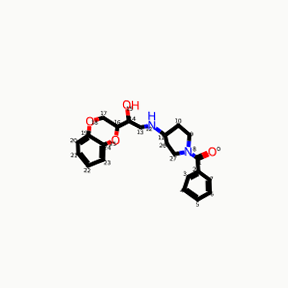 O=C(c1ccccc1)N1CCC(NCC(O)C2COc3ccccc3O2)CC1